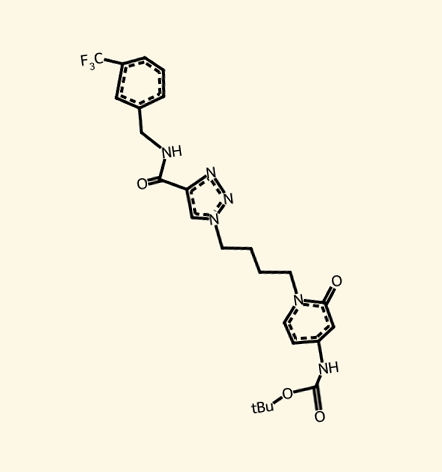 CC(C)(C)OC(=O)Nc1ccn(CCCCn2cc(C(=O)NCc3cccc(C(F)(F)F)c3)nn2)c(=O)c1